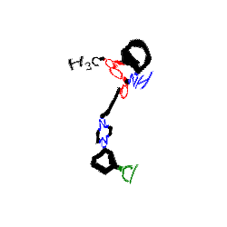 CCOc1ccccc1NC(=O)OCCCN1CCN(c2cccc(Cl)c2)CC1